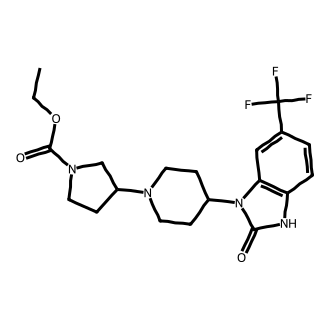 CCOC(=O)N1CCC(N2CCC(n3c(=O)[nH]c4ccc(C(F)(F)F)cc43)CC2)C1